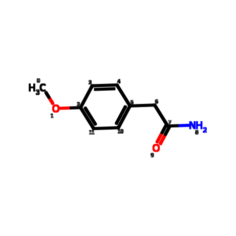 COc1ccc(CC(N)=O)cc1